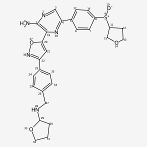 Nc1ncc(-c2ccc([S+]([O-])C3CCOC3)cc2)nc1-c1cc(-c2ccc(CNC3CCCO3)cc2)no1